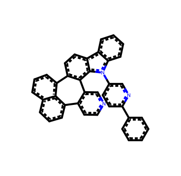 c1ccc(-c2ccc(-n3c4ccccc4c4ccc5c(c43)-c3cnccc3-c3cccc4cccc-5c34)cn2)cc1